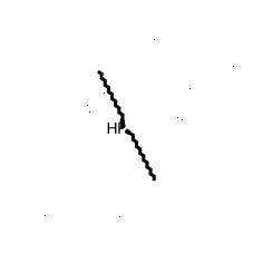 CCCCCCCCCCCCCCC#CPC#CCCCCCCCCCCCCCC